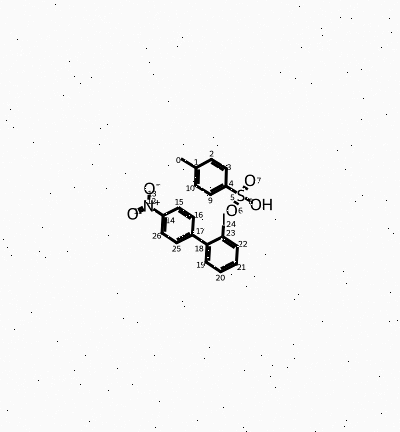 Cc1ccc(S(=O)(=O)O)cc1.O=[N+]([O-])c1ccc(-c2ccccc2I)cc1